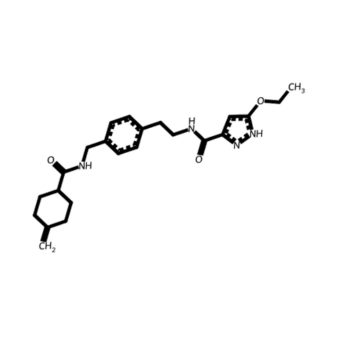 C=C1CCC(C(=O)NCc2ccc(CCNC(=O)c3cc(OCC)[nH]n3)cc2)CC1